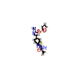 C=C(/C=N\C(COC[C@@H]1CCCO1)=N/C)c1ccc2nc(NC(=O)C3CC3)sc2c1